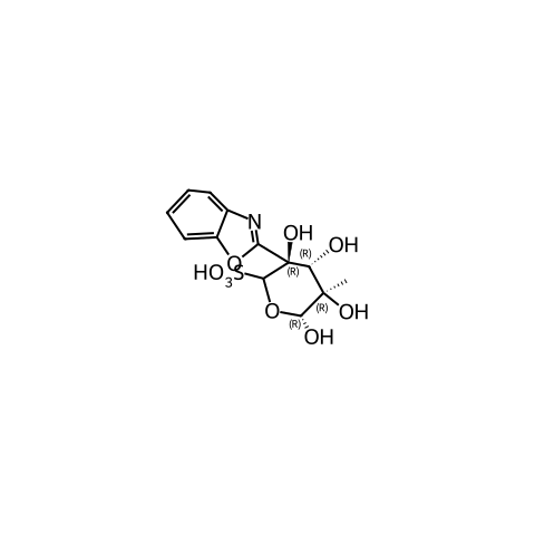 C[C@]1(O)[C@H](O)OC(S(=O)(=O)O)[C@](O)(c2nc3ccccc3o2)[C@@H]1O